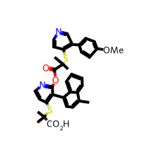 COc1ccc(-c2cnccc2SC(C)(C)C(=O)Oc2nccc(SC(C)(C)C(=O)O)c2-c2ccc(C)c3ccccc23)cc1